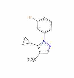 CCOC(=O)c1cnn(-c2cccc(Br)c2)c1C1CC1